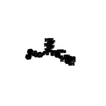 COc1cc(CNC[C@H](O)c2ccc(O)c3[nH]c(=O)ccc23)ccc1NC(=O)CCCN(C)C(=O)CCN1CCC(OC(=O)Nc2ccccc2-c2ccccc2)CC1.O=C(O)C(F)(F)F.O=C(O)C(F)(F)F